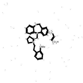 COc1ccccc1CCN1CCC[C@H]1CN1c2ccccc2CSc2ccccc21.O=C(O)C=CC(=O)O